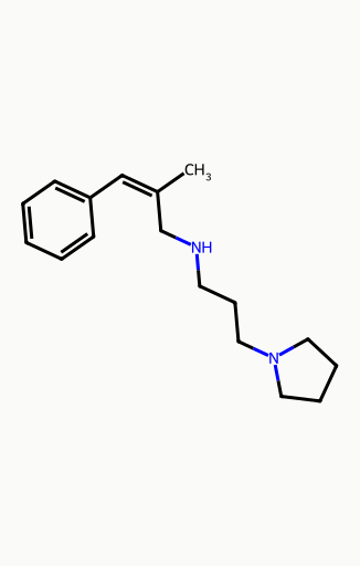 CC(=Cc1ccccc1)CNCCCN1CCCC1